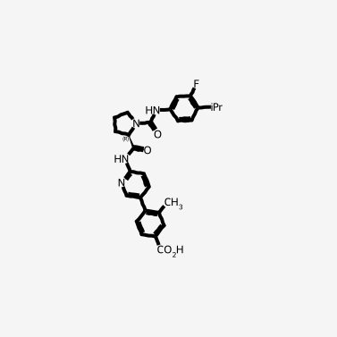 Cc1cc(C(=O)O)ccc1-c1ccc(NC(=O)[C@H]2CCCN2C(=O)Nc2ccc(C(C)C)c(F)c2)nc1